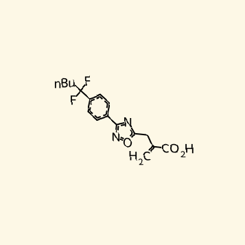 C=C(Cc1nc(-c2ccc(C(F)(F)CCCC)cc2)no1)C(=O)O